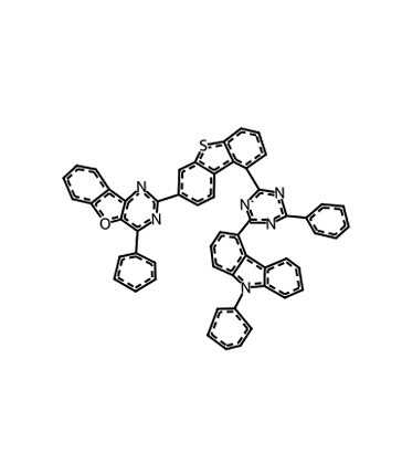 c1ccc(-c2nc(-c3cccc4sc5cc(-c6nc(-c7ccccc7)c7oc8ccccc8c7n6)ccc5c34)nc(-c3cccc4c3c3ccccc3n4-c3ccccc3)n2)cc1